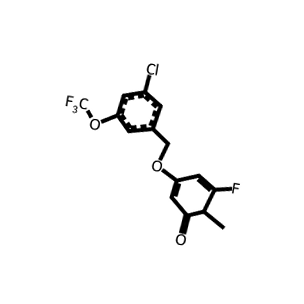 CC1C(=O)C=C(OCc2cc(Cl)cc(OC(F)(F)F)c2)C=C1F